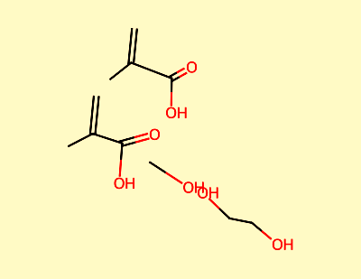 C=C(C)C(=O)O.C=C(C)C(=O)O.CO.OCCO